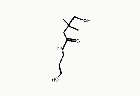 CC(C)(CO)CC(=O)NCCCO